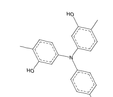 Cc1ccc(N(c2ccc(C)c(O)c2)c2ccc(C)c(O)c2)cc1